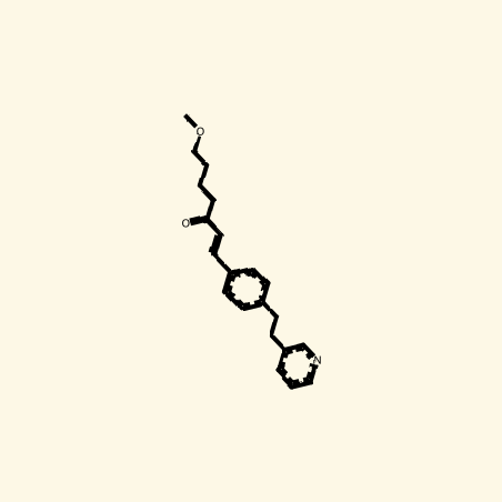 COCCCCC(=O)/C=C/c1ccc(CCc2cccnc2)cc1